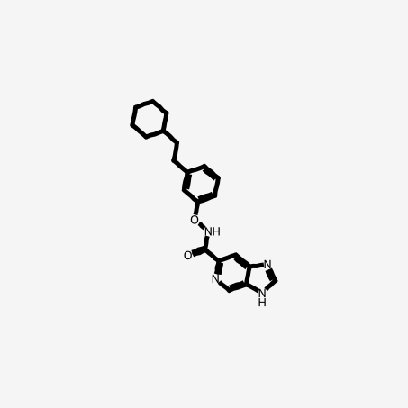 O=C(NOc1cccc(CCC2CCCCC2)c1)c1cc2nc[nH]c2cn1